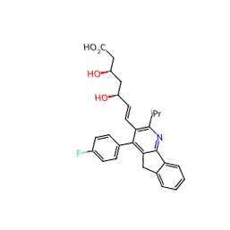 CC(C)c1nc2c(c(-c3ccc(F)cc3)c1/C=C/[C@@H](O)C[C@@H](O)CC(=O)O)Cc1ccccc1-2